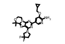 CC1(C)OCCn2c1nc1c(N3CCC(F)(F)C3)nc(-c3cnc(N)c(OCC4CC4)c3)nc12